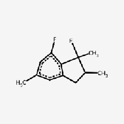 Cc1cc(F)c2c(c1)CC(C)C2(C)F